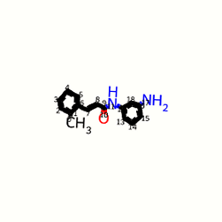 Cc1ccccc1C=CC(=O)Nc1cccc(N)c1